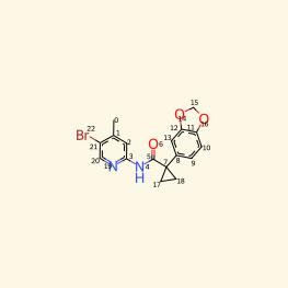 Cc1cc(NC(=O)C2(c3ccc4c(c3)OCO4)CC2)ncc1Br